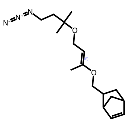 C/C(=C\COC(C)(C)CCN=[N+]=[N-])OCC1CC2C=CC1C2